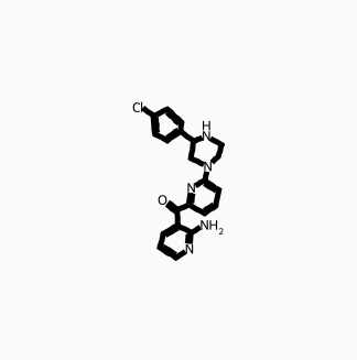 Nc1ncccc1C(=O)c1cccc(N2CCNC(c3ccc(Cl)cc3)C2)n1